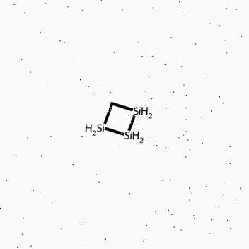 C1[SiH2][SiH2][SiH2]1